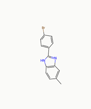 Cc1ccc2[nH]c(-c3ccc(Br)cc3)nc2c1